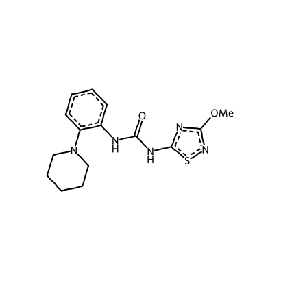 COc1nsc(NC(=O)Nc2ccccc2N2CCCCC2)n1